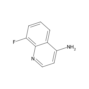 Nc1ccnc2c(F)cccc12